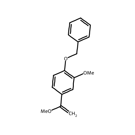 C=C(OC)c1ccc(OCc2ccccc2)c(OC)c1